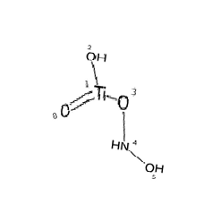 [O]=[Ti]([OH])[O]NO